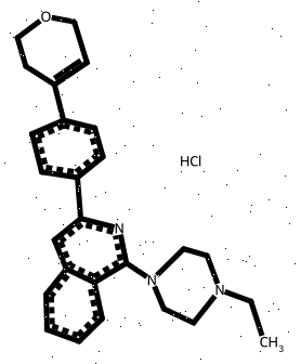 CCN1CCN(c2nc(-c3ccc(C4=CCOCC4)cc3)cc3ccccc23)CC1.Cl